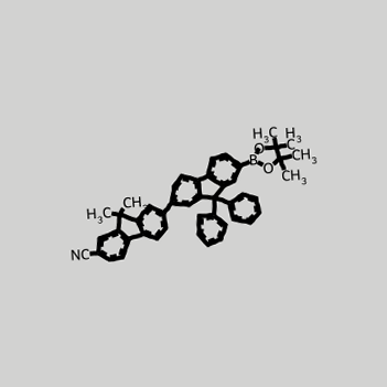 CC1(C)c2cc(C#N)ccc2-c2ccc(-c3ccc4c(c3)C(c3ccccc3)(c3ccccc3)c3cc(B5OC(C)(C)C(C)(C)O5)ccc3-4)cc21